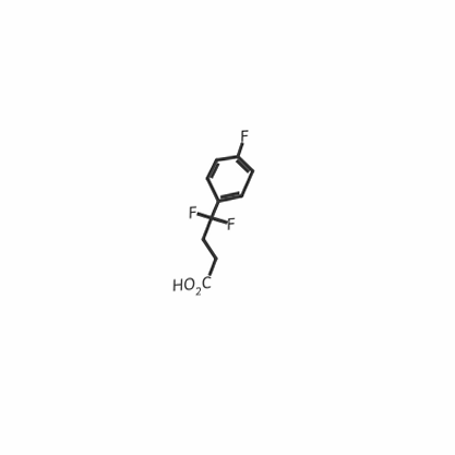 O=C(O)CCC(F)(F)c1ccc(F)cc1